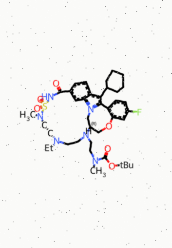 CCN1CCN(CCN(C)C(=O)OC(C)(C)C)[C@H]2COc3cc(F)ccc3-c3c(C4CCCCC4)c4ccc(cc4n3C2)C(=O)NS(=O)(=O)N(C)CC1